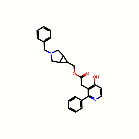 O=C(Cc1c(O)ccnc1-c1ccccc1)OCC1C2CN(Cc3ccccc3)CC12